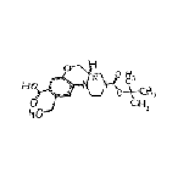 CC(C)(C)OC(=O)N1CCN2c3cc(CO)c(C(=O)O)cc3OC[C@@H]2C1